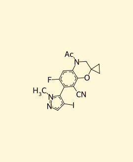 CC(=O)N1CC2(CC2)Oc2c1cc(F)c(-c1c(I)cnn1C)c2C#N